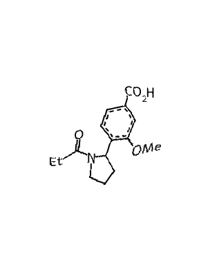 CCC(=O)N1CCCC1c1ccc(C(=O)O)cc1OC